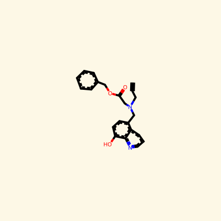 C#CCN(CC(=O)OCc1ccccc1)Cc1ccc(O)c2ncccc12